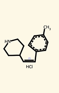 Cc1ccc(/C=C\C2CCNCC2)cc1.Cl